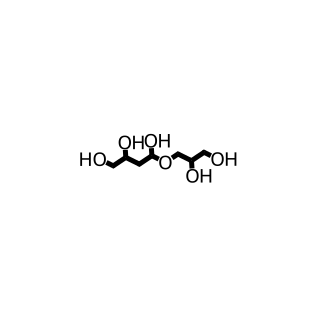 OCC(O)COC(O)CC(O)CO